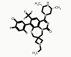 CCN1CC2(CSc3c(-c4cc(Cl)c(F)cc4F)c(C(F)(F)F)cc4c(N5C[C@@H](C)N[C@@H](C)C5)nc(=O)n(c34)C2)C1